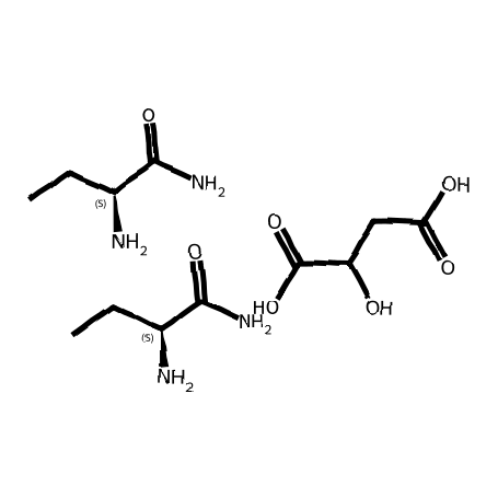 CC[C@H](N)C(N)=O.CC[C@H](N)C(N)=O.O=C(O)CC(O)C(=O)O